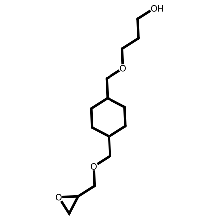 OCCCOCC1CCC(COCC2CO2)CC1